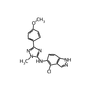 COc1ccc(-c2nc(Nc3ccc4[nH]ncc4c3Cl)n(C)n2)cc1